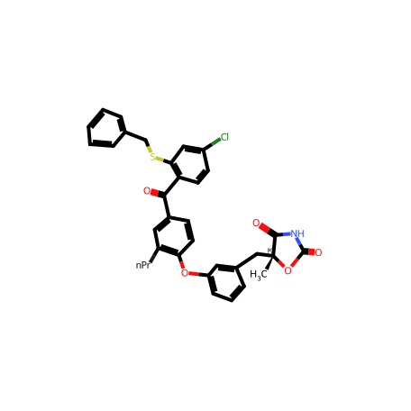 CCCc1cc(C(=O)c2ccc(Cl)cc2SCc2ccccc2)ccc1Oc1cccc(C[C@@]2(C)OC(=O)NC2=O)c1